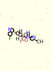 C#Cc1ccc(NC(=O)C(C)(C)[C@@H]2CC3C[C@H](c4ccnc5ccc(F)cc45)C[C@@H]3C2)cn1